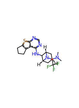 CN(C)[C@@H]1C[C@@H]2C(Nc3ncnc4sc5c(c34)CCC5)[C@H](C1)N2CC(F)(F)F